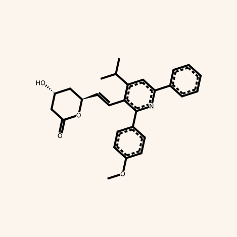 COc1ccc(-c2nc(-c3ccccc3)cc(C(C)C)c2/C=C/[C@@H]2C[C@@H](O)CC(=O)O2)cc1